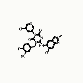 Cn1cc2cc(Nc3nc(=O)n(-c4cncc(Cl)c4)c(=O)n3Cc3ccc(F)c(C#N)c3)c(Cl)cc2n1